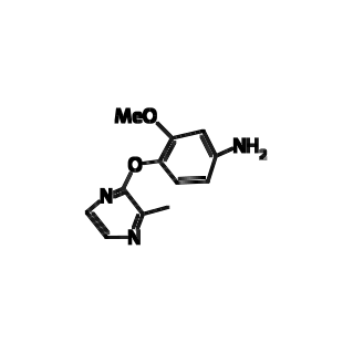 COc1cc(N)ccc1Oc1nccnc1C